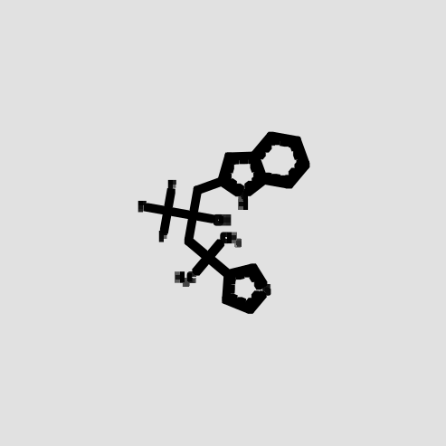 CC(C)(CC(O)(Cc1cc2ccccc2[nH]1)C(F)(F)F)c1ccsc1